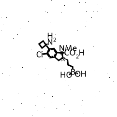 CN[C@@]1(C(=O)O)c2cc(C3(N)CCC3)c(Cl)cc2C[C@@H]1CCCB(O)O